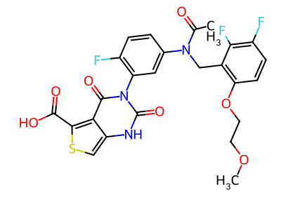 COCCOc1ccc(F)c(F)c1CN(C(C)=O)c1ccc(F)c(-n2c(=O)[nH]c3csc(C(=O)O)c3c2=O)c1